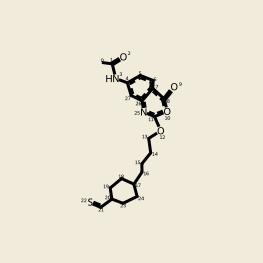 CC(=O)Nc1ccc2c(=O)oc(OCCCCC3CCC(C=S)CC3)nc2c1